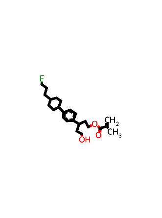 C=C(C)C(=O)OCCC(CCO)c1ccc(C2CCC(CCCF)CC2)cc1